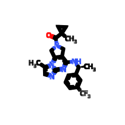 Cc1cnc2nc(N[C@H](C)c3cccc(C(F)(F)F)c3)c3c(n12)CN(C(=O)C1(C)CC1)C3